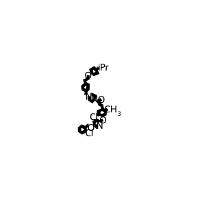 Cc1cc(Oc2ccc(OCc3ccccc3Cl)cn2)c(Cl)cc1C=CC(=O)N1CCN(Cc2ccc(CCOc3ccc(C(C)C)cc3)cc2)CC1